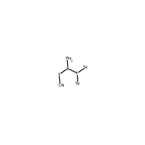 [2H]P([3H])B(P)SC#N